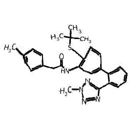 [CH2]n1nnc(-c2ccccc2-c2ccc(SC(C)(C)C)c(NC(=O)Cc3ccc(C)cc3)c2)n1